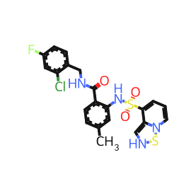 Cc1ccc(C(=O)NCc2ccc(F)cc2Cl)c(NS(=O)(=O)C2=CC=CN3SNC=C23)c1